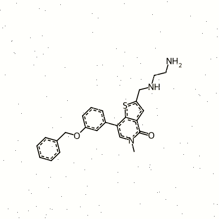 Cn1cc(-c2cccc(OCc3ccccc3)c2)c2sc(CNCCN)cc2c1=O